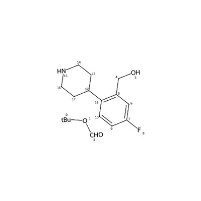 CC(C)(C)OC=O.OCc1cc(F)ccc1C1CCNCC1